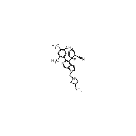 Cc1cc(C)c(-c2ncc3c(ccn3CN3CCC(N)C3)c2C2(F)C=CC=CC2C#N)cc1C